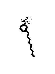 C=CCCCCCCCc1cccc(S(N)(=O)=O)c1